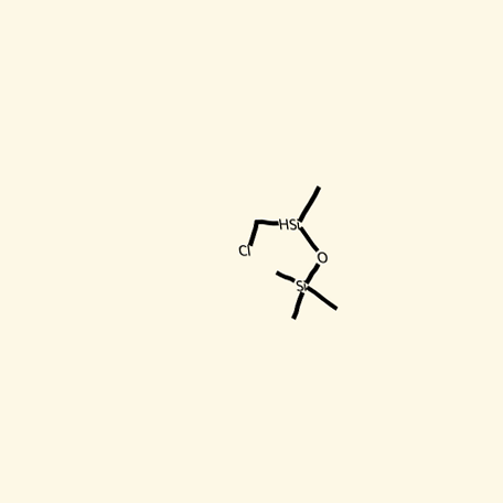 C[SiH](CCl)O[Si](C)(C)C